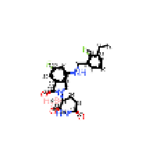 BC1(N2Cc3c(NCc4cccc(CC)c4F)cc(F)cc3C2=O)CCC(=O)NC1=O